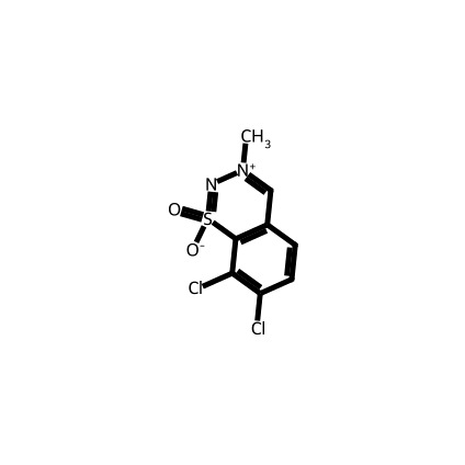 C[N+]1=Cc2ccc(Cl)c(Cl)c2S(=O)([O-])=N1